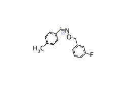 Cc1ccc(/[C]=N\OCc2cccc(F)c2)cc1